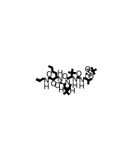 C=CCNC(=O)C(=O)C(CCCC)NC(=O)[C@@H]1[C@@H]2[C@H](CN1C(=O)[C@@H](NC(=O)N[C@H](CS(=O)(=O)C(C)(C)C)C(C)C)C(C)(C)C)C2(C)C